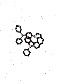 c1ccc(N(c2ccccc2)c2ccc(-n3ccc4ccc5ccc6c(c7ccccc7n6-c6ccccc6)c5c43)cc2)cc1